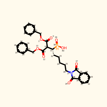 O=C(OCc1ccccc1)C(C(=O)OCc1ccccc1)[C@@H](CCCCCN1C(=O)c2ccccc2C1=O)[PH](=O)O